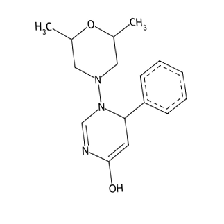 CC1CN(N2C=NC(O)=CC2c2ccccc2)CC(C)O1